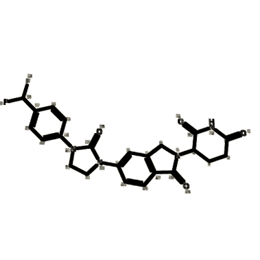 O=C1CCC(N2Cc3cc(N4CCN(c5ccc(C(F)F)cc5)C4=O)ccc3C2=O)C(=O)N1